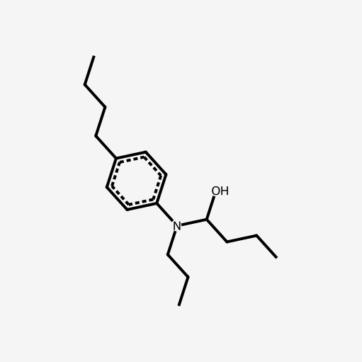 CCCCc1ccc(N(CCC)C(O)CCC)cc1